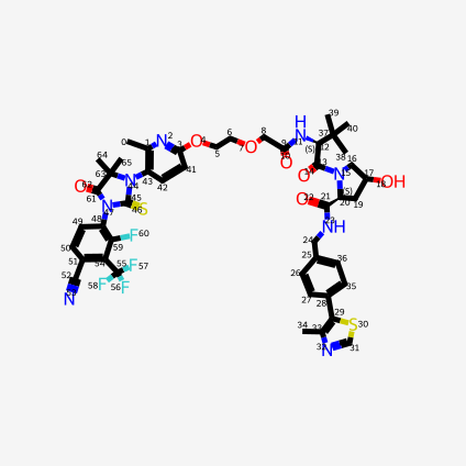 Cc1nc(OCCOCC(=O)N[C@H](C(=O)N2CC(O)C[C@H]2C(=O)NCc2ccc(-c3scnc3C)cc2)C(C)(C)C)ccc1N1C(=S)N(c2ccc(C#N)c(C(F)(F)F)c2F)C(=O)C1(C)C